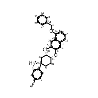 N[C@]1(c2ccc(F)cc2)CC[C@@H](Oc2cc3ccnc(OCc4ccccc4)c3cc2Cl)CC1